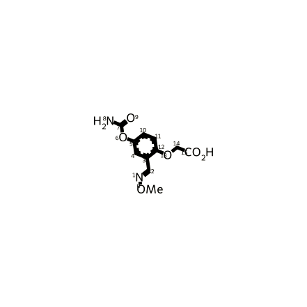 CON=Cc1cc(OC(N)=O)ccc1OCC(=O)O